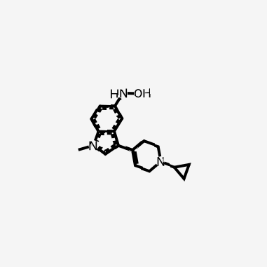 Cn1cc(C2=CCN(C3CC3)CC2)c2cc(NO)ccc21